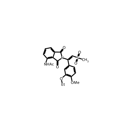 CCOc1cc(/C(=C\S(C)(=O)=O)N2C(=O)c3cccc(NC(C)=O)c3C2=O)ccc1OC